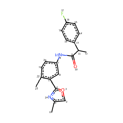 Cc1coc(-c2cc(NC(=O)C(C)c3ccc(F)cc3)ccc2C)n1